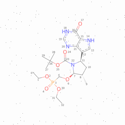 CCOP(=O)(CO[C@@H]1[C@@H](C)C[C@H](c2c[nH]c3c(=O)[nH]cnc23)N1C(=O)OC(C)(C)C)OCC